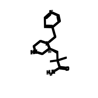 CC(C)(C[C@H]1CNCCN1Cc1ccncc1)C(N)=O